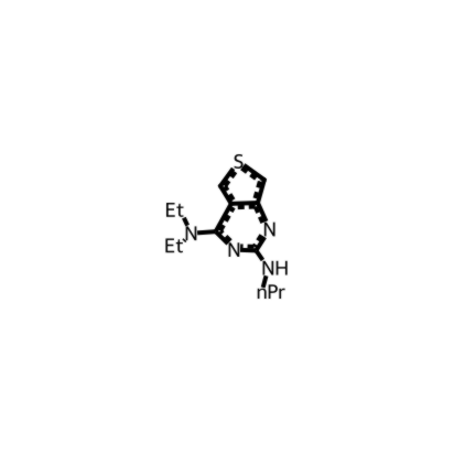 CCCNc1nc(N(CC)CC)c2cscc2n1